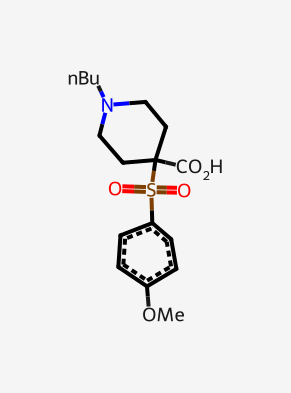 CCCCN1CCC(C(=O)O)(S(=O)(=O)c2ccc(OC)cc2)CC1